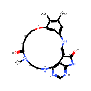 COc1cc2cc(c1OC)OCCCC(=O)N(C)CCNc1ncnc3c1/C(=C/N2)C(=O)N3